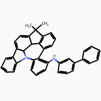 CC1(C)C2=CC=C3c4ccccc4N4c5cccc(Nc6cccc(-c7ccccc7)c6)c5-c5cccc1c5C2C34